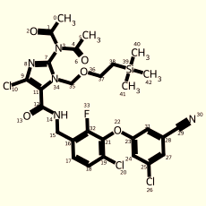 CC(=O)N(C(C)=O)c1nc(Cl)c(C(=O)NCc2ccc(Cl)c(Oc3cc(Cl)cc(C#N)c3)c2F)n1COCC[Si](C)(C)C